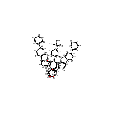 Fc1cccc(F)c1-c1c(-n2c3cc(-c4ccccc4)ccc3c3ccc(-c4ccccc4)cc32)cc(C(F)(F)F)cc1-n1c2cc(-c3ccccc3)ccc2c2ccc(-c3ccccc3)cc21